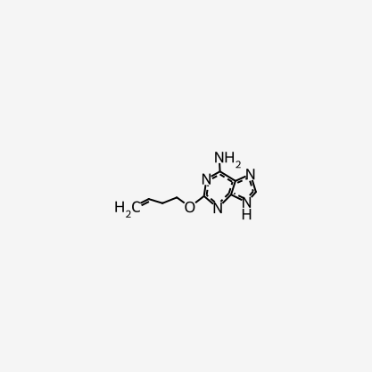 C=CCCOc1nc(N)c2nc[nH]c2n1